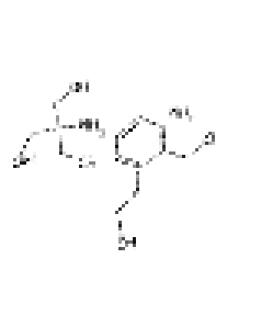 N.NC(CO)(CO)CO.OCCc1ccccc1CCl